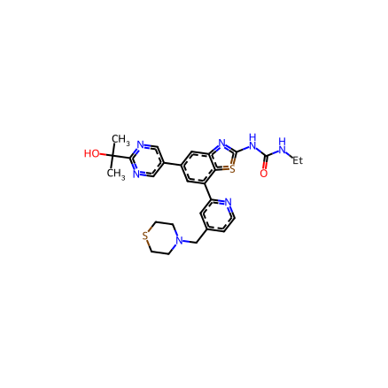 CCNC(=O)Nc1nc2cc(-c3cnc(C(C)(C)O)nc3)cc(-c3cc(CN4CCSCC4)ccn3)c2s1